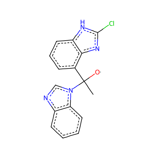 CC([O])(c1cccc2[nH]c(Cl)nc12)n1cnc2ccccc21